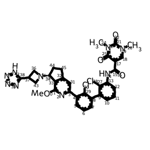 COc1nc(-c2cccc(-c3cccc(NC(=O)c4cn(C)c(=O)n(C)c4=O)c3Cl)c2Cl)cc2c1[C@@H](N1CC(c3nnn[nH]3)C1)CC2